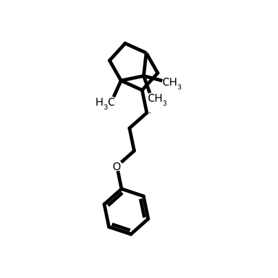 CC1(C)C2CCC1(C)C([CH]CCOc1ccccc1)C2